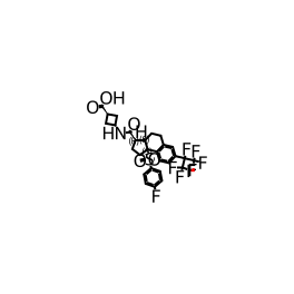 O=C(N[C@H]1C[C@H](C(=O)O)C1)[C@@H]1CC[C@@]2(S(=O)(=O)c3ccc(F)cc3)c3ccc(C(F)(C(F)(F)F)C(F)(F)F)cc3CC[C@@H]12